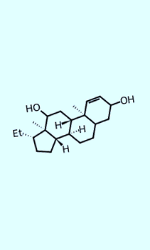 CC[C@H]1CC[C@H]2[C@@H]3CCC4CC(O)C=C[C@]4(C)[C@H]3CC(O)[C@]12C